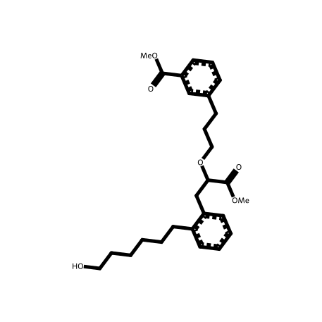 COC(=O)c1cccc(CCCOC(Cc2ccccc2CCCCCCO)C(=O)OC)c1